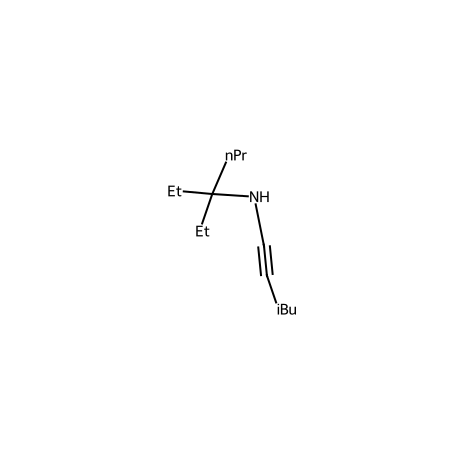 CCCC(CC)(CC)NC#CC(C)CC